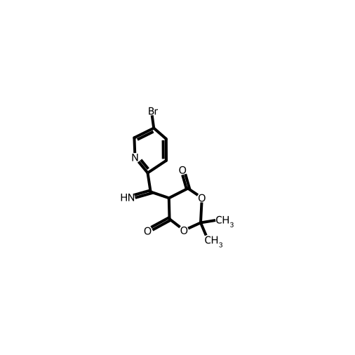 CC1(C)OC(=O)C(C(=N)c2ccc(Br)cn2)C(=O)O1